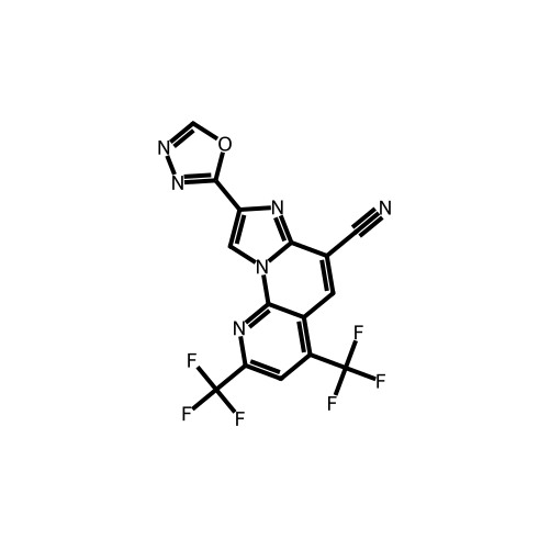 N#Cc1cc2c(C(F)(F)F)cc(C(F)(F)F)nc2n2cc(-c3nnco3)nc12